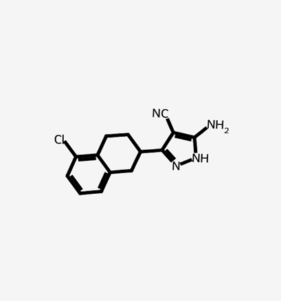 N#Cc1c(C2CCc3c(Cl)cccc3C2)n[nH]c1N